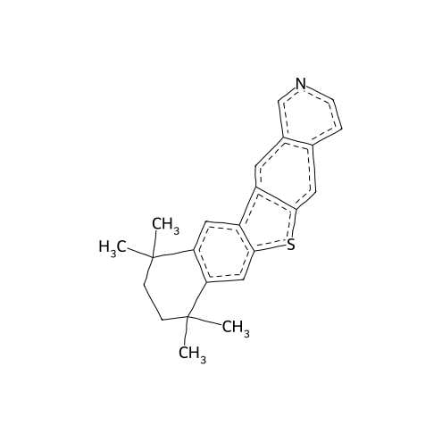 CC1(C)CCC(C)(C)c2cc3c(cc21)sc1cc2ccncc2cc13